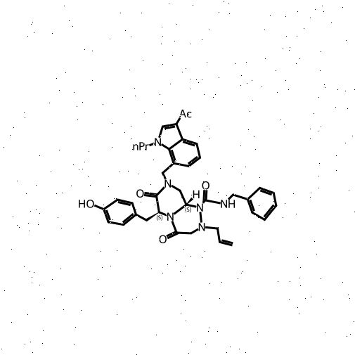 C=CCN1CC(=O)N2[C@@H](Cc3ccc(O)cc3)C(=O)N(Cc3cccc4c(C(C)=O)cn(CCC)c34)C[C@@H]2N1C(=O)NCc1ccccc1